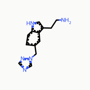 NCCc1c[nH]c2ccc(Cn3cncn3)cc12